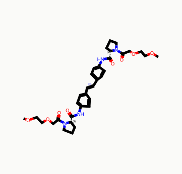 COCCOCC(=O)N1CCC[C@H]1C(=O)Nc1ccc(/C=C/c2ccc(NC(=O)[C@@H]3CCCN3C(=O)COCCOC)cc2)cc1